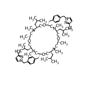 CC(C)C[C@H]1CO[C@H](C)CN(C)[C@@H](CC(C)C)CO[C@H](Cc2ccc(Cn3ccc(Cl)n3)cc2)CN(C)[C@@H](CC(C)C)CO[C@H](C)CN(C)[C@@H](CC(C)C)CO[C@H](Cc2ccc(Cn3ccc(Cl)n3)cc2)CN1C